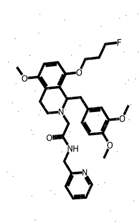 COc1ccc(CC2c3c(OCCCF)ccc(OC)c3CCN2CC(=O)NCc2ccccn2)cc1OC